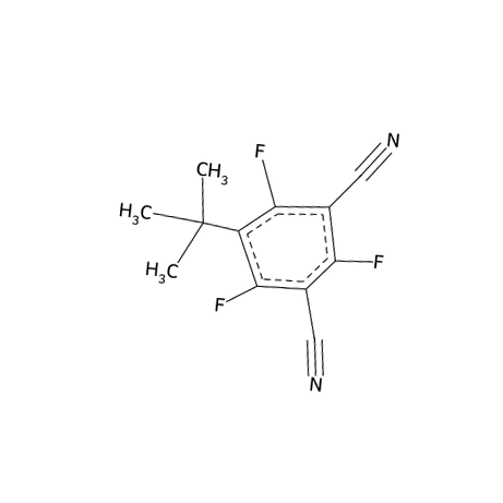 CC(C)(C)c1c(F)c(C#N)c(F)c(C#N)c1F